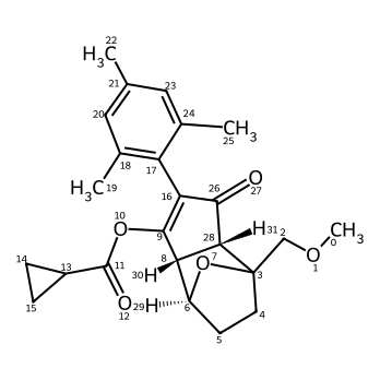 COCC12CC[C@H](O1)[C@@H]1C(OC(=O)C3CC3)=C(c3c(C)cc(C)cc3C)C(=O)[C@@H]12